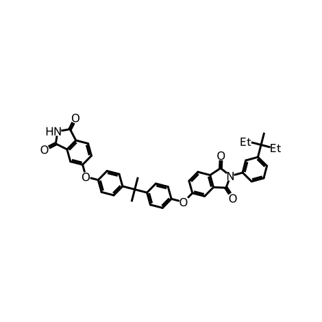 CCC(C)(CC)c1cccc(N2C(=O)c3ccc(Oc4ccc(C(C)(C)c5ccc(Oc6ccc7c(c6)C(=O)NC7=O)cc5)cc4)cc3C2=O)c1